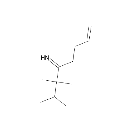 C=CCCC(=N)C(C)(C)C(C)C